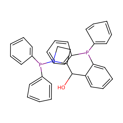 OC(c1ccccc1P(c1ccccc1)c1ccccc1)C1CCN1P(c1ccccc1)c1ccccc1